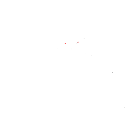 Cc1c(CN(C(=O)C2=C(c3ccc(CCCOc4c(F)ccc(F)c4Cl)cc3)CC3CCC2N3C(=O)OC(C)(C)C)C2CC2)ccnc1OCCCO